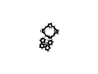 C1=Cc2cc3ccc(cc4nc(cc5ccc(cc1n2)[nH]5)C=C4)[nH]3.c1cc[c]([Zn]([c]2ccccc2)([c]2ccccc2)[c]2ccccc2)cc1